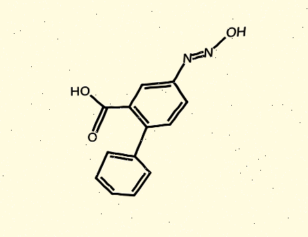 O=C(O)c1cc(/N=N/O)ccc1-c1ccccc1